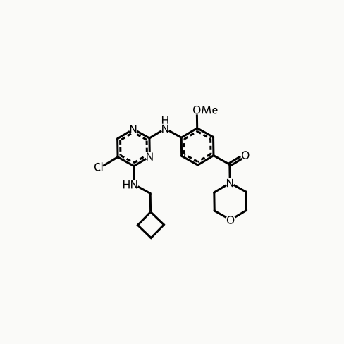 COc1cc(C(=O)N2CCOCC2)ccc1Nc1ncc(Cl)c(NCC2CCC2)n1